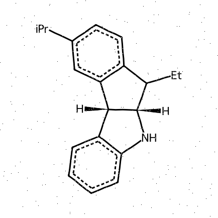 CCC1c2ccc(C(C)C)cc2[C@H]2c3ccccc3N[C@@H]12